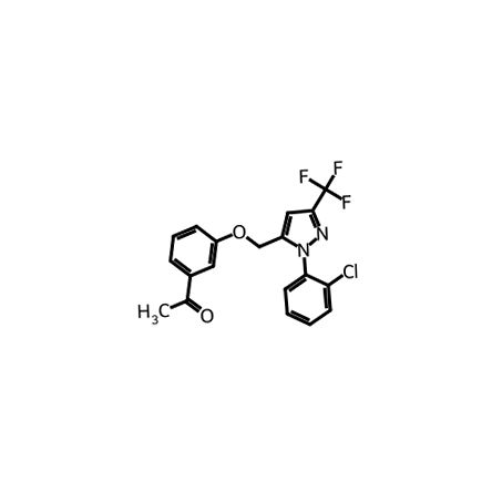 CC(=O)c1cccc(OCc2cc(C(F)(F)F)nn2-c2ccccc2Cl)c1